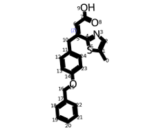 Cc1cnc(/C(=C\C(=O)O)Cc2ccc(OCc3ccccc3)cc2)s1